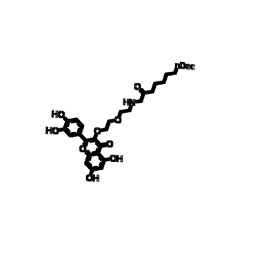 CCCCCCCCCCCCCCCC(=O)CNCCOCCOc1c(-c2ccc(O)c(O)c2)oc2cc(O)cc(O)c2c1=O